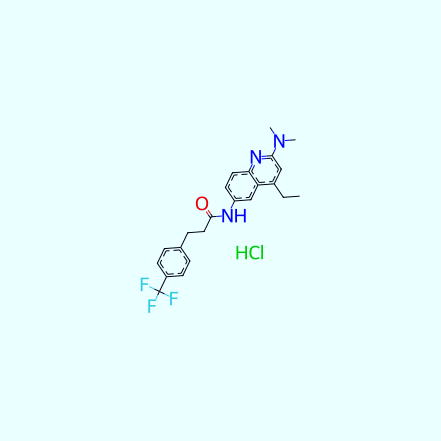 CCc1cc(N(C)C)nc2ccc(NC(=O)CCc3ccc(C(F)(F)F)cc3)cc12.Cl